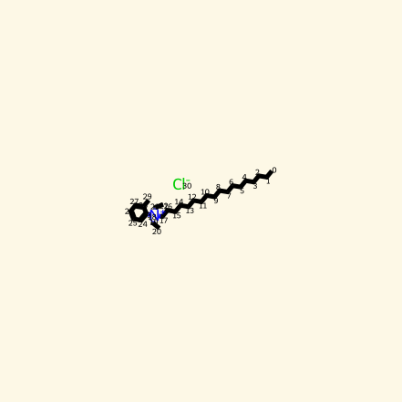 CCCCCCCCCCCCCCCCCC[N+](CC)(CC)c1ccccc1C.[Cl-]